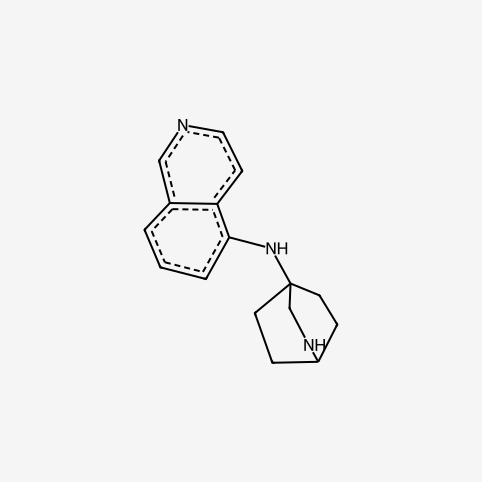 c1cc(NC23CCC(CC2)NC3)c2ccncc2c1